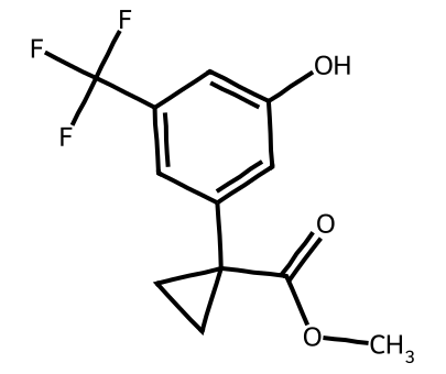 COC(=O)C1(c2cc(O)cc(C(F)(F)F)c2)CC1